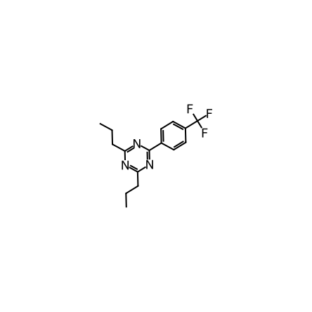 CCCc1nc(CCC)nc(-c2ccc(C(F)(F)F)cc2)n1